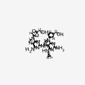 Nc1nc(N)c2ncn([C@H]3CO[C@@H](CO)O3)c2n1.Nc1nc(NC2CC2)c2ncn([C@H]3C=C[C@@H](CO)C3)c2n1